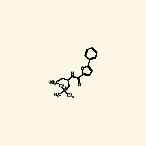 C[N+](C)(C)C[C@@H](CC(=O)O)NC(=O)c1ccc(-c2ccccc2)o1